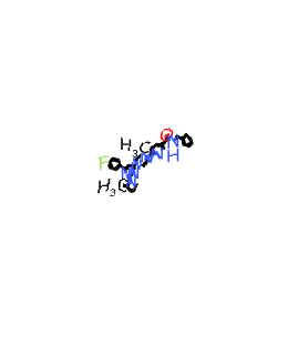 Cc1cc(C(=O)NCc2ccccc2)cnc1N1CCN(c2cc(-c3ccc(F)cc3)nc(N3CCCC3C)n2)CC1